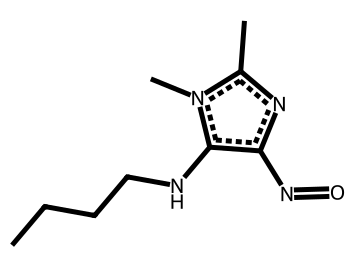 CCCCNc1c(N=O)nc(C)n1C